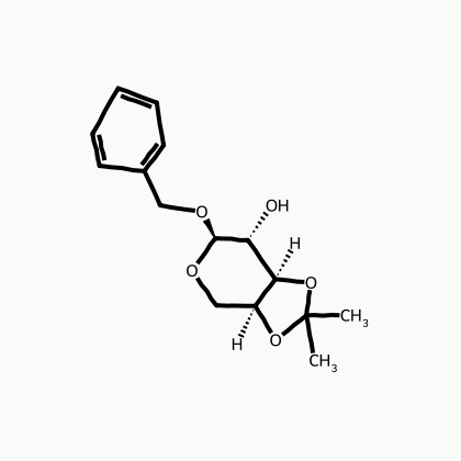 CC1(C)O[C@@H]2[C@@H](O)[C@H](OCc3ccccc3)OC[C@@H]2O1